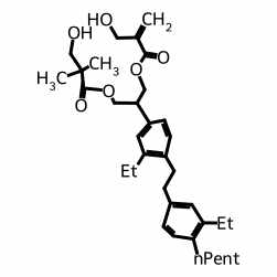 C=C(CO)C(=O)OCC(COC(=O)C(C)(C)CO)c1ccc(CCc2ccc(CCCCC)c(CC)c2)c(CC)c1